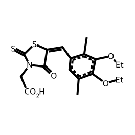 CCOc1c(C)cc(/C=C2/SC(=S)N(CC(=O)O)C2=O)c(C)c1OCC